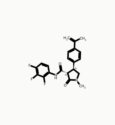 C=C(C)c1ccc([C@H]2CN(C)C(=O)[C@@H]2C(=O)Nc2ccc(F)c(F)c2F)cc1